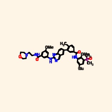 COc1cc(Nc2ncc3cc(-c4cc(C(=O)Nc5cc(C(C)(C)C)cc(P(C)(C)=O)c5OC)ccc4C)ccc3n2)cc(C(=O)NCCN2CCOCC2)c1